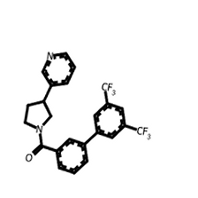 O=C(c1cccc(-c2cc(C(F)(F)F)cc(C(F)(F)F)c2)c1)N1CCC(c2cccnc2)C1